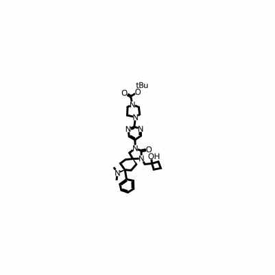 CN(C)[C@]1(c2ccccc2)CC[C@@]2(CC1)CN(c1cnc(N3CCN(C(=O)OC(C)(C)C)CC3)nc1)C(=O)N2CC1(O)CCC1